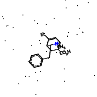 CCC1=CC2C(C(=O)O)CC1C(Cc1ccccc1)N2C